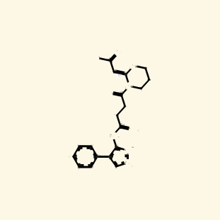 CC(=N)/C=C1\NCCCN1C(=O)CCC(=O)Nc1oncc1-c1ccccc1